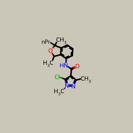 CCCC1(C)OC(C)c2c(NC(=O)c3c(C)nn(C)c3Cl)cccc21